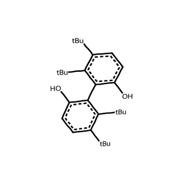 CC(C)(C)c1ccc(O)c(-c2c(O)ccc(C(C)(C)C)c2C(C)(C)C)c1C(C)(C)C